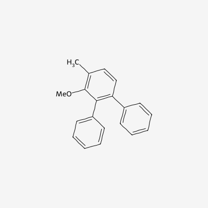 COc1c(C)ccc(-c2ccccc2)c1-c1ccccc1